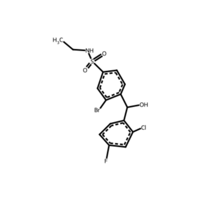 CCNS(=O)(=O)c1ccc(C(O)c2ccc(F)cc2Cl)c(Br)c1